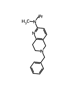 CC(C)N(C)c1ccc2c(n1)CCN(Cc1ccccc1)C2